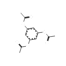 CC(=O)Oc1[c]c(OC(C)=O)cc(OC(C)=O)c1